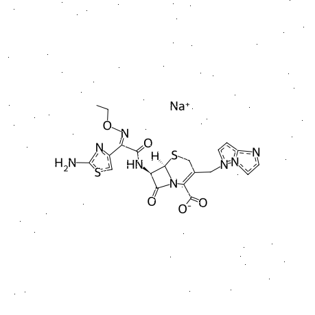 CCO/N=C(/C(=O)N[C@@H]1C(=O)N2C(C(=O)[O-])=C(Cn3ccc4nccn43)CS[C@H]12)c1csc(N)n1.[Na+]